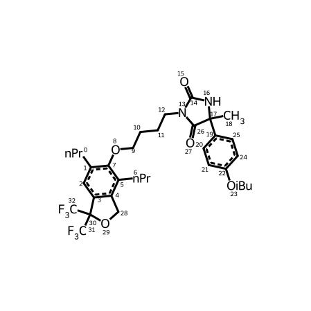 CCCc1cc2c(c(CCC)c1OCCCCN1C(=O)NC(C)(c3ccc(OCC(C)C)cc3)C1=O)COC2(C(F)(F)F)C(F)(F)F